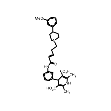 COc1cccc(C2CCN(CC/C=C/C(=O)Nc3cccc(C4C(C(=O)O)=C(C)NC(C)=C4C(=O)O)c3)CC2)c1